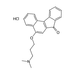 CN(C)CCCOc1cc2c(c3ccccc13)-c1ccccc1C2=O.Cl